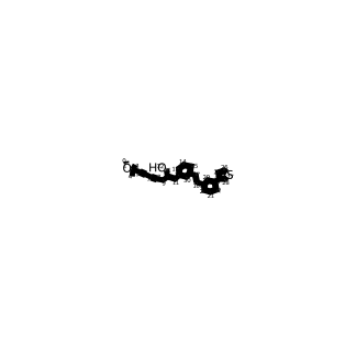 COC(C)(C)C#CC#CCC(=Cc1cccc(C=Cc2cccc(-c3ccsc3)c2)c1)CO